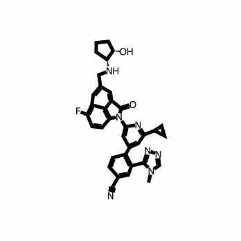 Cn1cnnc1-c1cc(C#N)ccc1-c1cc(C2CC2)nc(N2C(=O)c3cc(CN[C@@H]4CCC[C@@H]4O)cc4c(F)ccc2c34)c1